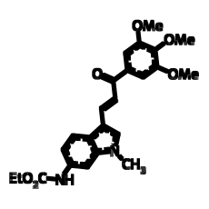 CCOC(=O)Nc1ccc2c(/C=C/C(=O)c3cc(OC)c(OC)c(OC)c3)cn(C)c2c1